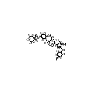 CN1C(=O)C(NC(=O)c2n[nH]c(Cc3ccc(F)cc3)n2)COc2ccc(N3CC4(CCOCC4)C3)cc21